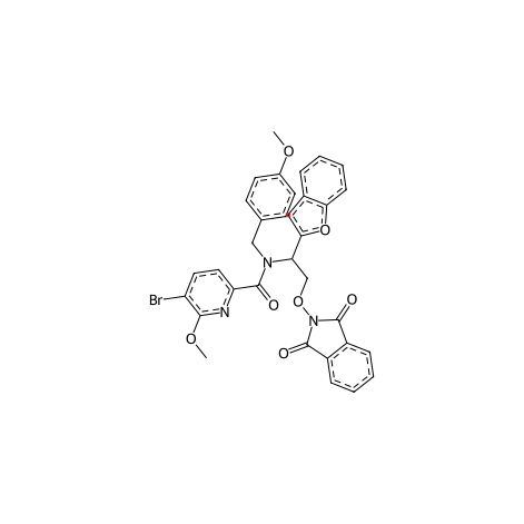 COc1ccc(CN(C(=O)c2ccc(Br)c(OC)n2)C(CON2C(=O)c3ccccc3C2=O)c2cc3ccccc3o2)cc1